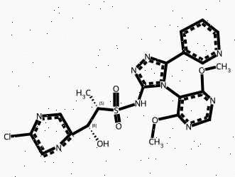 COc1ncnc(OC)c1-n1c(NS(=O)(=O)[C@@H](C)[C@H](O)c2cnc(Cl)cn2)nnc1-c1cccnc1